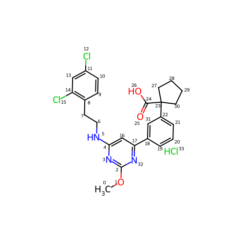 COc1nc(NCCc2ccc(Cl)cc2Cl)cc(-c2cccc(C3(C(=O)O)CCCC3)c2)n1.Cl